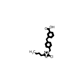 CCCCc1nc(Cl)n(Cc2ccc(Cc3cccc(C(=O)O)c3)cc2)n1